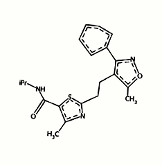 Cc1nc(CCc2c(-c3ccccc3)noc2C)sc1C(=O)NC(C)C